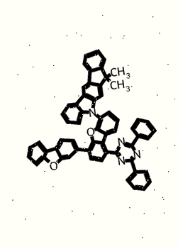 CC1(C)c2ccccc2-c2cc3c4ccccc4n(-c4cccc5c4oc4c(-c6ccc7c(c6)oc6ccccc67)ccc(-c6nc(-c7ccccc7)nc(-c7ccccc7)n6)c45)c3cc21